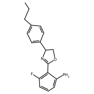 CCCc1ccc(C2COC(c3c(F)cccc3P)=N2)cc1